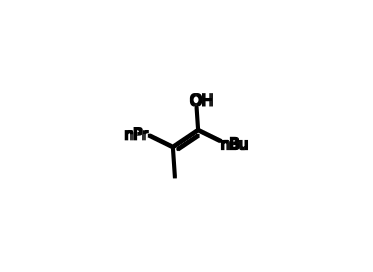 CCCC/C(O)=C(\C)CCC